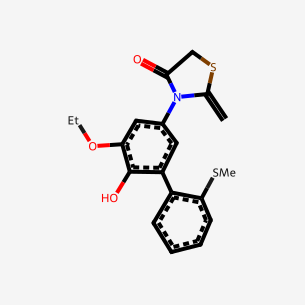 C=C1SCC(=O)N1c1cc(OCC)c(O)c(-c2ccccc2SC)c1